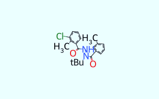 Cc1cccc(C(=O)N(NC(=O)c2cccc(Cl)c2C)C(C)(C)C)c1